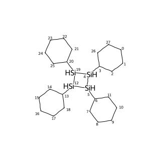 C1CCC([SiH]2[SiH](C3CCCCC3)[SiH](C3CCCCC3)[SiH]2C2CCCCC2)CC1